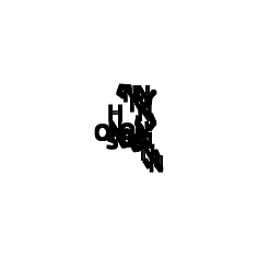 Cc1cc(N2CCCN(c3nc(C=C4SC(=O)NC4=O)cc(N4CCN(C)CC4)n3)CC2)nc(N2CCCC2)n1